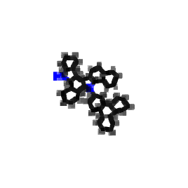 c1ccc2c(c1)ccc1c3c4c5ccccc5[nH]c4c4ccccc4c3n(-c3ccc4c5ccccc5c5ccccc5c4c3)c21